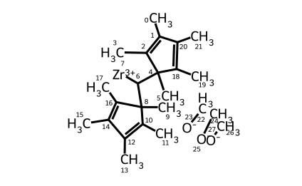 CC1=C(C)C(C)([CH]([Zr+3])C2(C)C(C)=C(C)C(C)=C2C)C(C)=C1C.C[O-].C[O-].C[O-]